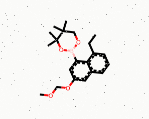 CCc1cccc2cc(OCOC)cc(B3OCC(C)(C)C(C)(C)O3)c12